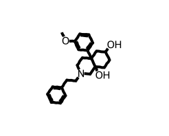 COc1cccc(C23CCN(CCc4ccccc4)CC2(O)CCC(O)C3)c1